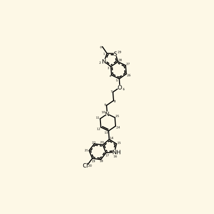 Cc1nc2cc(OCCCN3CC=C(c4c[nH]c5cc(Cl)ccc45)CC3)ccc2s1